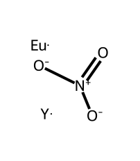 O=[N+]([O-])[O-].[Eu].[Y]